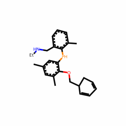 CCNCc1cccc(C)c1Pc1cc(C)cc(C)c1OCC1C=CC=CC1